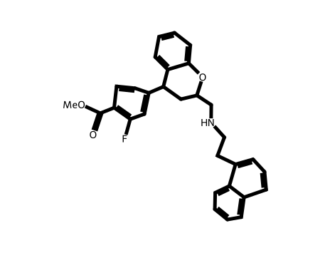 COC(=O)c1ccc(C2CC(CNCCc3cccc4ccccc34)Oc3ccccc32)cc1F